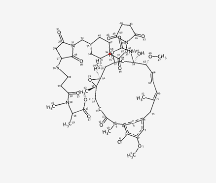 COc1cc2cc(c1Cl)N(C)C(=O)C[C@H](OC(=O)C(C)N(C)C(=O)CCSC1CC(=O)N(CC3CCC(C(=O)ON4C(=O)CCC4=O)CC3)C1=O)[C@]1(C)O[C@H]1[C@H](C)[C@@H]1C[C@@](O)(NC(=O)O1)[C@H](OC)/C=C/C=C(\C)C2